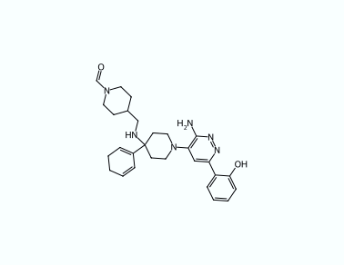 Nc1nnc(-c2ccccc2O)cc1N1CCC(NCC2CCN(C=O)CC2)(C2=CCCC=C2)CC1